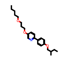 CCCCCOCCCOc1ccc(-c2ccc(OCC(C)CC)cc2)nc1